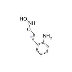 Nc1ccccc1/C=C/ONO